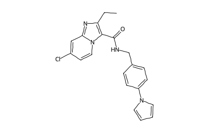 CCc1nc2cc(Cl)ccn2c1C(=O)NCc1ccc(-n2cccc2)cc1